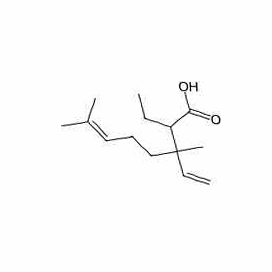 C=CC(C)(CCC=C(C)C)C(CC)C(=O)O